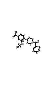 O=C(O)c1ccc(N2CCN(C(=O)c3ccccn3)CC2)c(CC(F)(F)F)c1